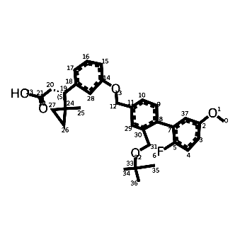 COc1ccc(F)c(-c2ccc(COc3cccc([C@@H](CC(=O)O)C4(C)CC4)c3)cc2COC(C)(C)C)c1